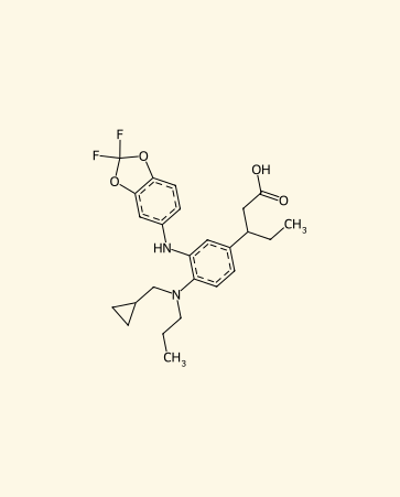 CCCN(CC1CC1)c1ccc(C(CC)CC(=O)O)cc1Nc1ccc2c(c1)OC(F)(F)O2